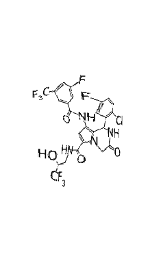 O=C1Cn2c(C(=O)NCC(O)C(F)(F)F)cc(NC(=O)c3cc(F)cc(C(F)(F)F)c3)c2C(c2cc(F)ccc2Cl)N1